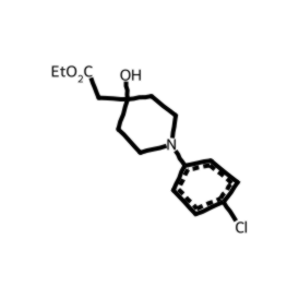 CCOC(=O)CC1(O)CCN(c2ccc(Cl)cc2)CC1